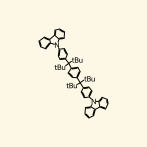 CC(C)(C)C(c1ccc(-n2c3ccccc3c3ccccc32)cc1)(c1ccc(C(c2ccc(-n3c4ccccc4c4ccccc43)cc2)(C(C)(C)C)C(C)(C)C)cc1)C(C)(C)C